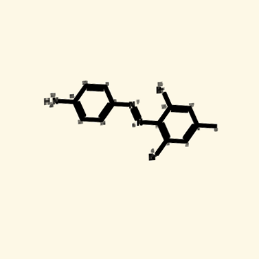 Cc1cc(Br)c(N=Nc2ccc(N)cc2)c(Br)c1